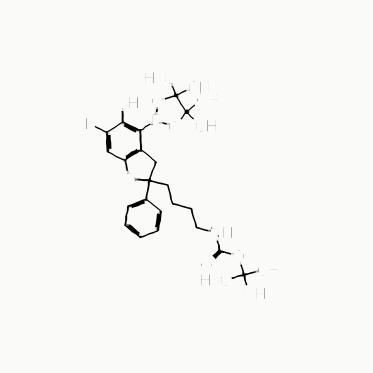 Cc1c(F)cc2c(c1B1OC(C)(C)C(C)(C)O1)CC(CCCCNC(=O)OC(C)(C)C)(c1ccccc1)O2